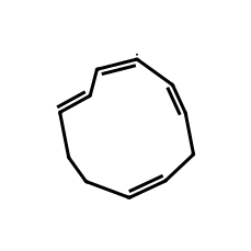 [C]1=C\C=C\CC/C=C\C\C=C/1